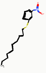 CCCCCCCCCCSc1[c]ccc([N+](=O)[O-])c1